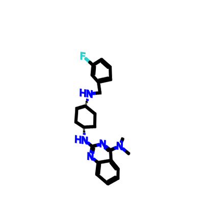 CN(C)c1nc(N[C@H]2CC[C@@H](NCc3cccc(F)c3)CC2)nc2ccccc12